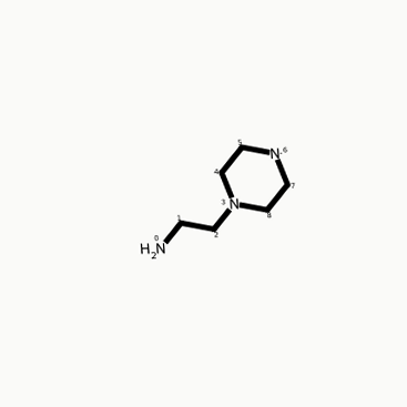 NCCN1CC[N]CC1